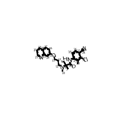 Cc1c(NC(=O)C(C)(C)N(C)CCCOc2ccc3cccnc3c2)ccc(C#N)c1Cl